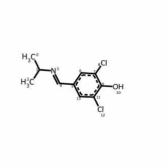 CC(C)/N=C/c1cc(Cl)c(O)c(Cl)c1